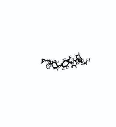 O=C(NC1CC1)c1ccc(-c2ccc(N3CCCC(C45CCC(CC(O)C4)N5C(=O)O)C3)c(F)c2)cc1